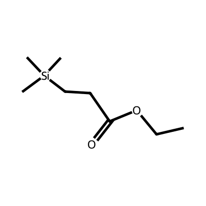 CCOC(=O)CC[Si](C)(C)C